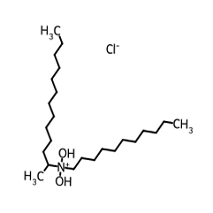 CCCCCCCCCCCC(C)[N+](O)(O)CCCCCCCCCCC.[Cl-]